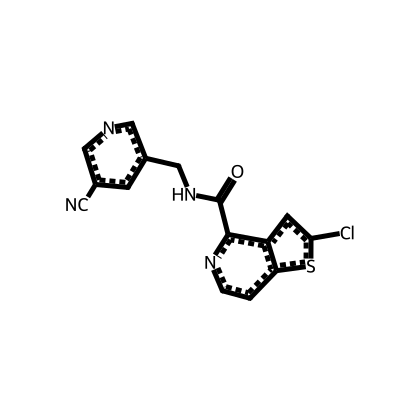 N#Cc1cncc(CNC(=O)c2nccc3sc(Cl)cc23)c1